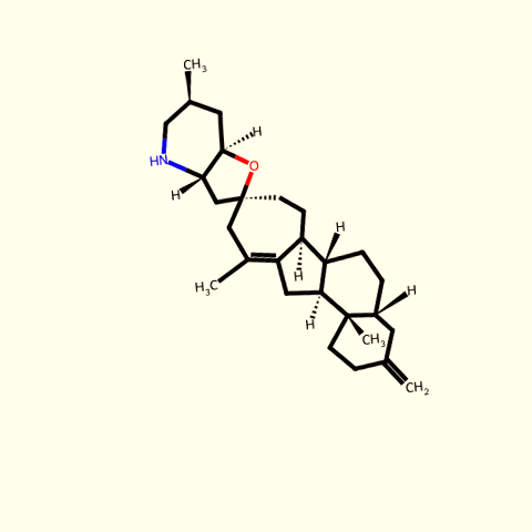 C=C1CC[C@@]2(C)[C@H](CC[C@H]3[C@@H]4CC[C@]5(CC(C)=C4C[C@@H]32)C[C@@H]2NC[C@@H](C)C[C@H]2O5)C1